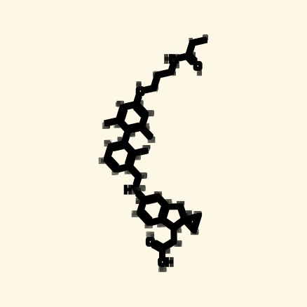 CCC(=O)NCCCOc1cc(C)c(-c2cccc(CNc3ccc4c(c3)CC3(CC3)C4CC(=O)O)c2C)c(C)c1